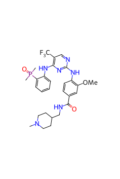 COc1cc(C(=O)NCC2CCN(C)CC2)ccc1Nc1ncc(C(F)(F)F)c(Nc2ccccc2P(C)(C)=O)n1